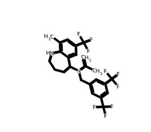 C=C(C)N(Cc1cc(C(F)(F)F)cc(C(F)(F)F)c1)C1CCCNc2c(C)cc(C(F)(F)F)cc21